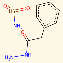 NNC(=O)Cc1ccccc1.N[SH](=O)=O